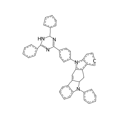 C1=C2c3ccccc3N(c3ccccc3)C2Cc2c1n(-c1ccc(C3=NC(c4ccccc4)NC(c4ccccc4)=N3)cc1)c1ccccc21